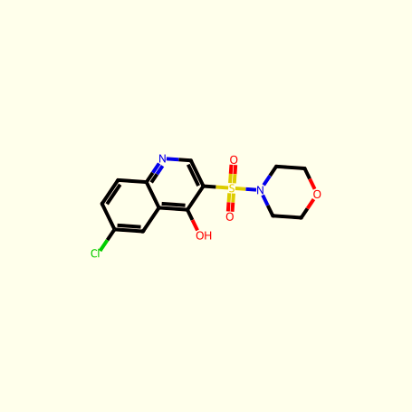 O=S(=O)(c1cnc2ccc(Cl)cc2c1O)N1CCOCC1